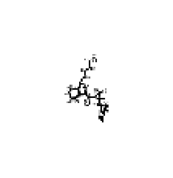 CC1(C)C(C(=O)c2cn(CCCCCF)c3ccccc23)C1(C)CN=[N+]=[N-]